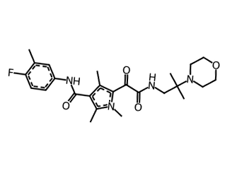 Cc1cc(NC(=O)c2c(C)c(C(=O)C(=O)NCC(C)(C)N3CCOCC3)n(C)c2C)ccc1F